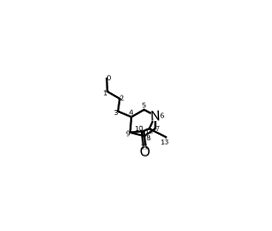 CCCCC1CN2CCC1C(=O)C2C